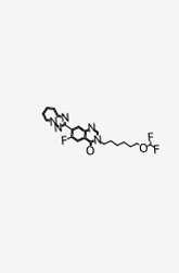 O=c1c2cc(F)c(-c3nc4ccccn4n3)cc2ncn1CCCCCCOC(F)F